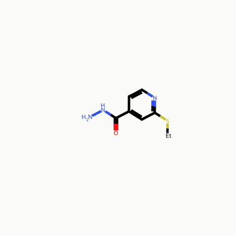 CCSc1cc(C(=O)NN)ccn1